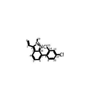 C=Cc1c2cccc(-c3ccc(Cl)cc3Cl)c2nn1C